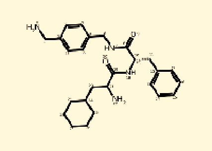 NCc1ccc(CNC(=O)[C@H](Cc2ccccc2)NC(=O)C(N)CC2CCCCC2)cc1